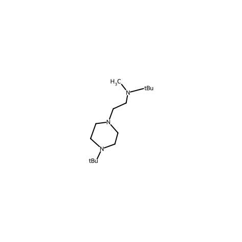 CN(CCN1CCN(C(C)(C)C)CC1)C(C)(C)C